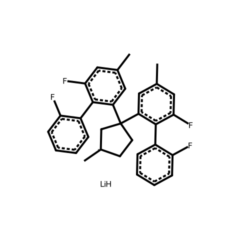 C[C]1CCC(c2cc(C)cc(F)c2-c2ccccc2F)(c2cc(C)cc(F)c2-c2ccccc2F)C1.[LiH]